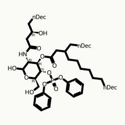 CCCCCCCCCCCCCCCCC(CCCCCCCCCCC)CC(=O)O[C@H]1[C@H](OP(=O)(Oc2ccccc2)Oc2ccccc2)[C@@H](CO)OC(O)[C@@H]1NC(=O)C[C@H](O)CCCCCCCCCCC